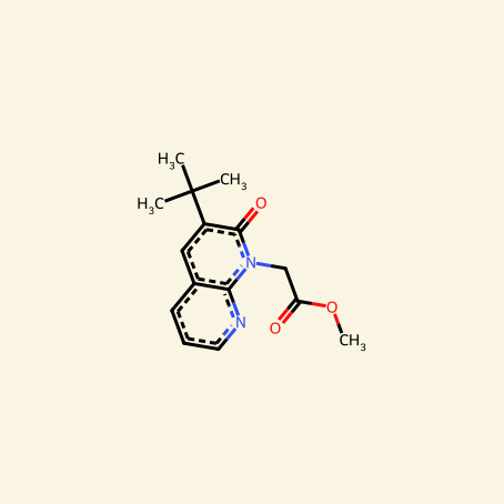 COC(=O)Cn1c(=O)c(C(C)(C)C)cc2cccnc21